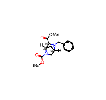 COC(=O)[C@@H]1[C@@H]2C[C@@H](CN2C(=O)OC(C)(C)C)N1Cc1ccccc1